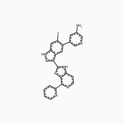 Nc1cncc(-c2cc3c(-c4nc5c(-c6ccccn6)nccc5[nH]4)n[nH]c3cc2F)c1